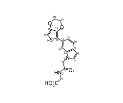 O=C(O)CNC(=O)Cn1ccc2ccc(-c3scc4c3OCCO4)cc21